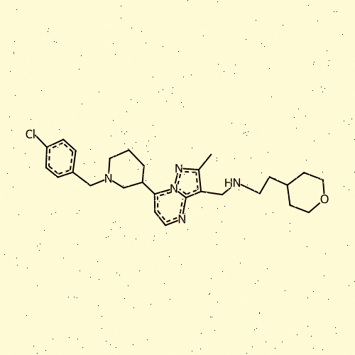 Cc1nn2c(C3CCCN(Cc4ccc(Cl)cc4)C3)ccnc2c1CNCCC1CCOCC1